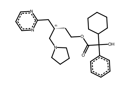 O=C(OCC[C@@H](Cc1ncccn1)CN1CCCC1)C(O)(c1ccccc1)C1CCCCC1